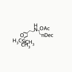 CCCCCCCCCCCC(NCCc1coc([Si](C)(C)C)c1)OC(C)=O